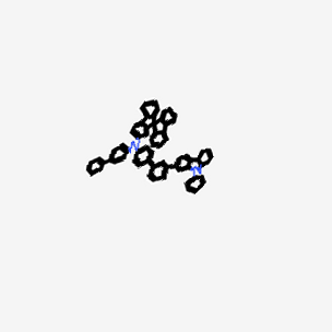 c1ccc(-c2ccc(N(c3ccc(-c4cccc(-c5ccc6c7ccccc7n(-c7ccccc7)c6c5)c4)cc3)c3ccc4c(c3)C3(c5ccccc5-c5ccccc53)c3ccccc3-4)cc2)cc1